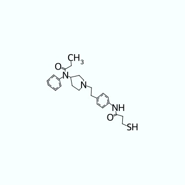 CCC(=O)N(c1ccccc1)C1CCN(CCc2ccc(NC(=O)CCS)cc2)CC1